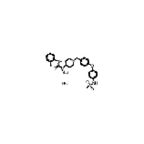 CCCCN(C(=O)Nc1ccccc1C)C1CCN(Cc2ccc(Oc3ccc(NS(C)(=O)=O)cc3)cc2)CC1.Cl